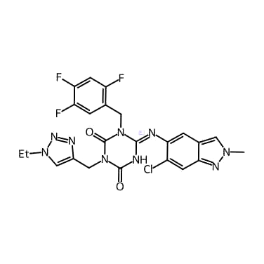 CCn1cc(Cn2c(=O)[nH]/c(=N\c3cc4cn(C)nc4cc3Cl)n(Cc3cc(F)c(F)cc3F)c2=O)nn1